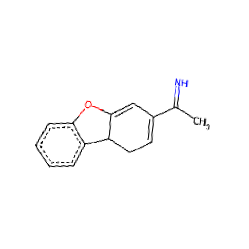 CC(=N)C1=CCC2C(=C1)Oc1ccccc12